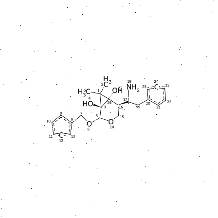 CC1(C)[C@@]2(O)C(OCc3ccccc3)OC[C@H](C(N)Cc3ccccc3)[C@]12O